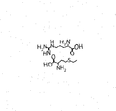 CCSCCC(N)C(=O)O.N=C(N)NCCCC(N)C(=O)O